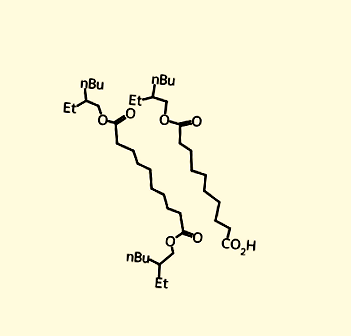 CCCCC(CC)COC(=O)CCCCCCCCC(=O)O.CCCCC(CC)COC(=O)CCCCCCCCC(=O)OCC(CC)CCCC